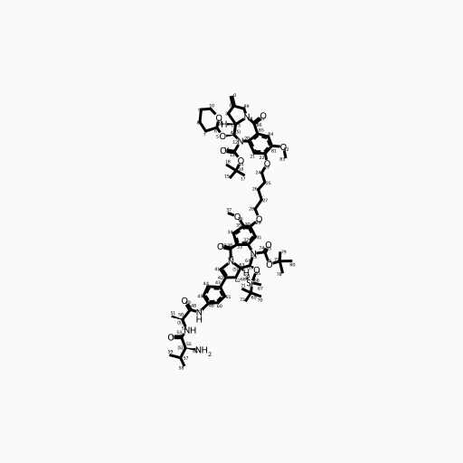 C=C1C[C@H]2[C@H](OC3CCCCO3)N(C(=O)OC(C)(C)C)c3cc(OCCCCCOc4cc5c(cc4OC)C(=O)N4C=C(c6ccc(NC(=O)[C@H](C)NC(=O)[C@@H](N)C(C)C)cc6)C[C@H]4[C@H](O[Si](C)(C)C(C)(C)C)N5C(=O)OC(C)(C)C)c(OC)cc3C(=O)N2C1